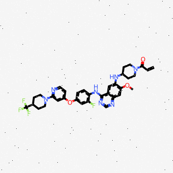 C=CC(=O)N1CCC(Nc2cc3c(Nc4ccc(Oc5ccnc(N6CCC(C(F)(F)F)CC6)c5)cc4F)ncnc3cc2OC)CC1